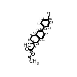 CCOC(=O)CC1(O)CCc2cc(-c3ccc(I)cc3)ccc2C1